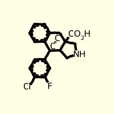 O=C(O)C12CNCC1C1(c3ccc(Cl)c(F)c3)CCC2c2ccccc21